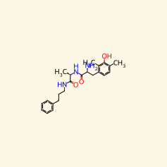 Cc1ccc(C[C@H](N)C(=O)N[C@H](C)C(=O)NCCCc2ccccc2)c(C)c1O